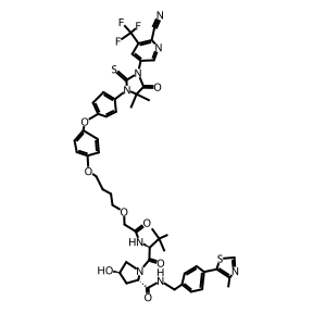 Cc1ncsc1-c1ccc(CNC(=O)[C@@H]2C[C@@H](O)CN2C(=O)[C@@H](NC(=O)COCCCCOc2ccc(Oc3ccc(N4C(=S)N(c5cnc(C#N)c(C(F)(F)F)c5)C(=O)C4(C)C)cc3)cc2)C(C)(C)C)cc1